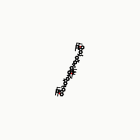 CCCC(C)(c1ccc2c(c1)C(C)(C)c1cc3c(cc1-2)CC3(CC)c1ccc2c(c1)C(C)(C(F)(F)F)c1cc(C(C)(CCC)c3ccc4c(c3)C(C)(C)c3cc5c(cc3-4)CC5(CC)c3ccc4c(c3)C(C)(C(F)(F)F)c3ccccc3-4)ccc1-2)c1ccc2c(c1)C(C)(C(F)(F)F)c1ccccc1-2